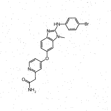 Cn1c(Nc2ccc(Br)cc2)nc2ccc(Oc3ccnc(CC(N)=O)c3)cc21